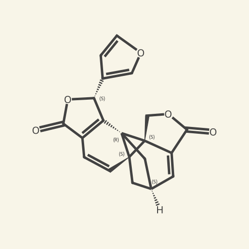 O=C1OC[C@@]23C1=C[C@H]1C[C@@]24C=CC2=C([C@@H](c5ccoc5)OC2=O)[C@]43C1